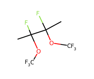 CC(F)(OC(F)(F)F)C(C)(F)OC(F)(F)F